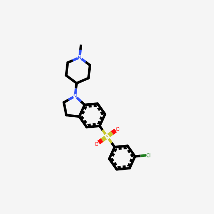 CN1CCC(N2CCc3cc(S(=O)(=O)c4cccc(Cl)c4)ccc32)CC1